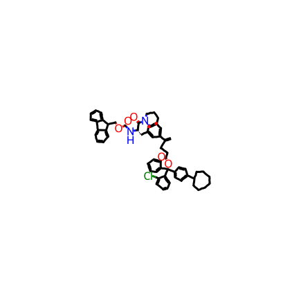 C=C(CCC(=O)OC(c1ccccc1)(c1ccc(C2CCCCCCC2)cc1)c1ccccc1Cl)c1cccc(C[C@H](NC(=O)OCC2c3ccccc3-c3ccccc32)C(=O)N2CCCCC2)c1